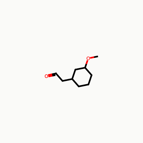 COC1CCCC(C[C]=O)C1